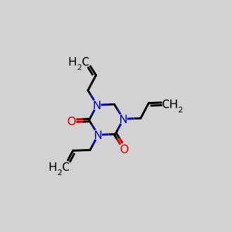 C=CCN1CN(CC=C)C(=O)N(CC=C)C1=O